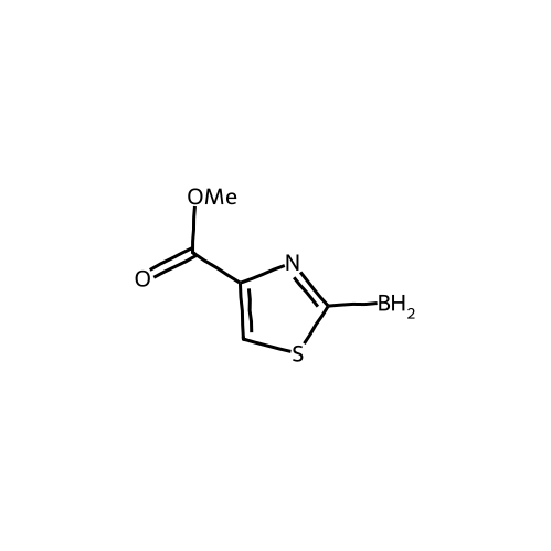 Bc1nc(C(=O)OC)cs1